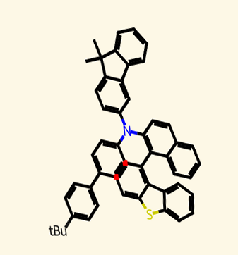 CC(C)(C)c1ccc(-c2ccc(N(c3ccc4c(c3)-c3ccccc3C4(C)C)c3ccc4ccccc4c3-c3cccc4sc5ccccc5c34)cc2)cc1